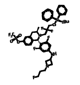 C[C@@H]1Cc2cc(OS(=O)(=O)C(F)(F)F)ccc2[C@@H](c2c(F)cc(NC3CN(CCCF)C3)cc2F)N1CC(F)(F)CO[Si](c1ccccc1)(c1ccccc1)C(C)(C)C